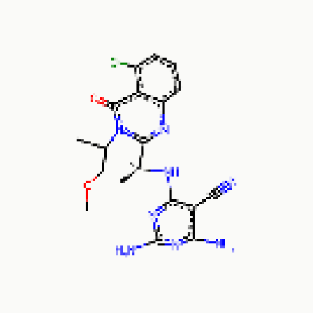 COCC(C)n1c([C@H](C)Nc2nc(N)nc(N)c2C#N)nc2cccc(Cl)c2c1=O